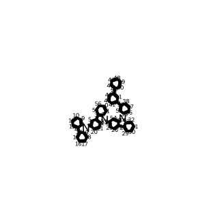 C1=Cc2c(c3cc(-n4c5ccccc5c5ccccc54)ccc3n2-c2ccc3c4ccccc4n(-c4cccc(-c5cccc(-c6ccccc6)c5)c4)c3c2)CC1